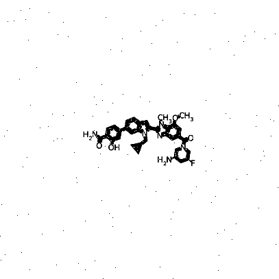 COc1cc(C(=O)N2C[C@H](N)C[C@@H](F)C2)cc2nc(-c3cc4ccc(-c5ccc(C(N)=O)c(O)c5)cc4n3CC3CC3)n(C)c12